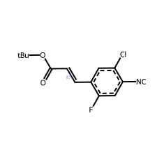 [C-]#[N+]c1cc(F)c(/C=C/C(=O)OC(C)(C)C)cc1Cl